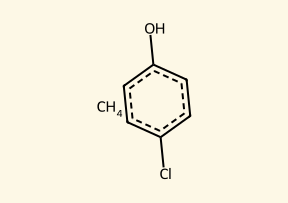 C.Oc1ccc(Cl)cc1